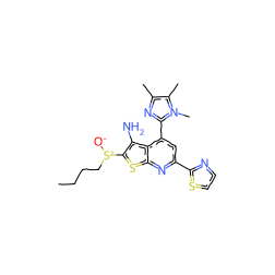 CCCC[S+]([O-])c1sc2nc(-c3nccs3)cc(-c3nc(C)c(C)n3C)c2c1N